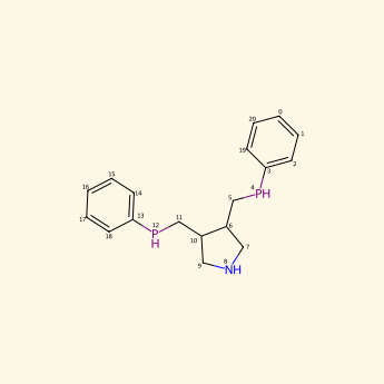 c1ccc(PCC2CNCC2CPc2ccccc2)cc1